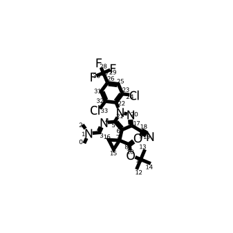 CN(C)C=Nc1c(C2(C(=O)OC(C)(C)C)CC2)c(C#N)nn1-c1c(Cl)cc(C(F)(F)F)cc1Cl